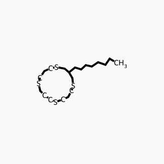 CCCCCCCCC1CSCCCSCCCSCCCSC1